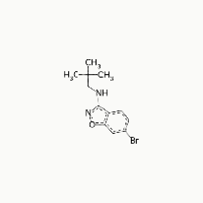 CC(C)(C)CNc1noc2cc(Br)ccc12